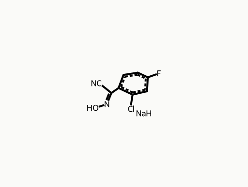 N#CC(=NO)c1ccc(F)cc1Cl.[NaH]